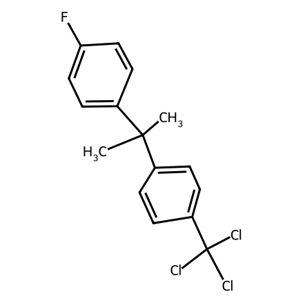 CC(C)(c1ccc(F)cc1)c1ccc(C(Cl)(Cl)Cl)cc1